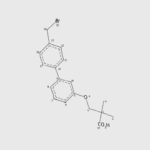 CC(C)(COc1cccc(-c2ccc(CBr)cc2)c1)C(=O)O